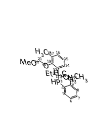 CCC(C)(Pc1ccccc1N(C)C)c1cccc(C)c1OCOC